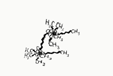 CCCCCCCOC(C)(OCCC)C(OCCC)(OCCC)OC(=O)CCCCCCC(=O)OC(OCCC)(OCCC)C(C)(OCCC)OCCCCCCC